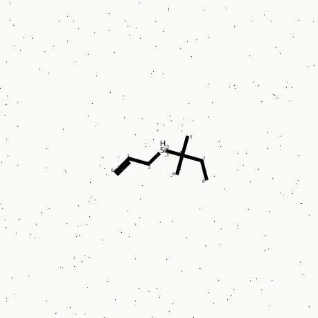 C=CC[SiH2]C(C)(C)CC